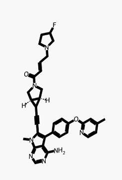 Cc1ccnc(Oc2ccc(-c3c(C#CC4[C@H]5CN(C(=O)/C=C/CN6CCC(F)C6)C[C@@H]45)n(C)c4ncnc(N)c34)cc2)c1